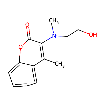 Cc1c(N(C)CCO)c(=O)oc2ccccc12